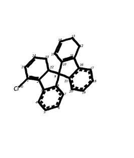 ClC1=C2c3ccccc3C3(C4=C(CCC=C4)c4ccccc43)C2CC=C1